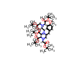 COc1ccc(CC(CN(CC(=O)OC(C)(C)C)CC(=O)OC(C)(C)C)N(CCN(CC(=O)OC(C)(C)C)CC(=O)OC(C)(C)C)CC(=O)OC(C)(C)C)cc1